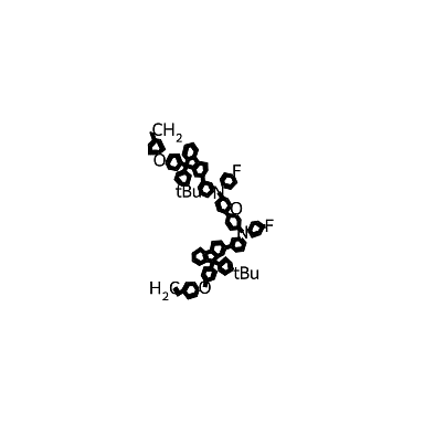 C=CC1=CCC(Oc2ccc(C3(c4ccc(C(C)(C)C)cc4)C4=C(CCC=C4)C4C=CC(c5cccc(N(C6C=CC(F)=CC6)C6C=CC7C(C6)OC6CC(N(C8=CCC(F)C=C8)C8=CC(C9C=CC%10=C(C9)C(C9=CC=C(Oc%11ccc(C=C)cc%11)CC9)(C9=CC=C(C(C)(C)C)CC9)C9C=CC=CC%109)=CCC8)C=CC67)c5)=CC43)cc2)C=C1